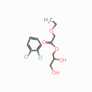 CCOCC(=O)OCC(O)CO.Clc1ccccc1Cl